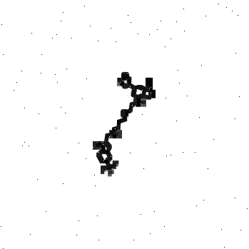 FC(F)(F)c1ccc2[nH]c(CNCCCCOCCNc3cc(-c4cnoc4)cc4[nH]ncc34)cc2c1